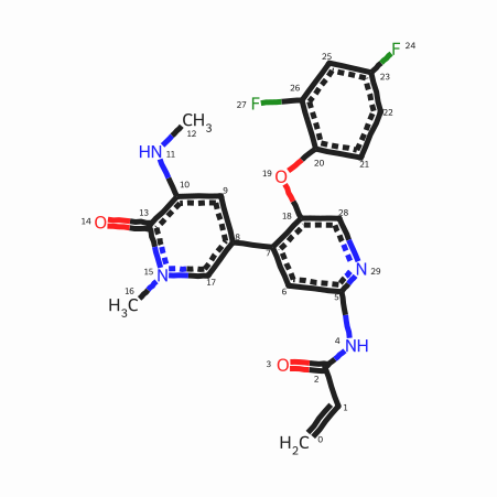 C=CC(=O)Nc1cc(-c2cc(NC)c(=O)n(C)c2)c(Oc2ccc(F)cc2F)cn1